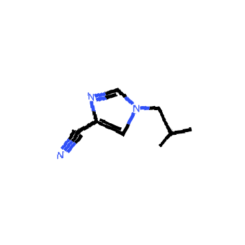 CC(C)Cn1cnc(C#N)c1